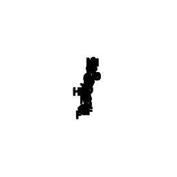 C[C@@H](C(=O)Nc1cnc(Oc2ccc(F)cc2F)cn1)N1CCN(C(=O)[C@@H]2CCc3ncnn3C2)C(C)(C)C1